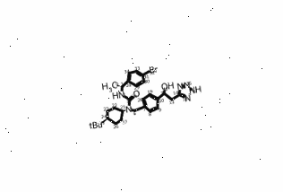 C[C@@H](NC(=O)N(Cc1ccc(C(O)Cc2nn[nH]n2)cc1)[C@H]1CC[C@H](C(C)(C)C)CC1)c1ccc(Br)cc1